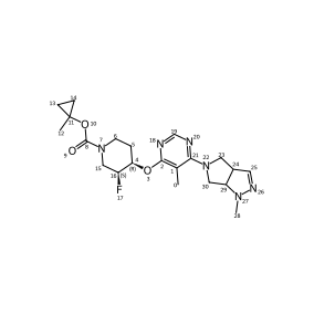 Cc1c(O[C@@H]2CCN(C(=O)OC3(C)CC3)C[C@@H]2F)ncnc1N1CC2C=NN(C)C2C1